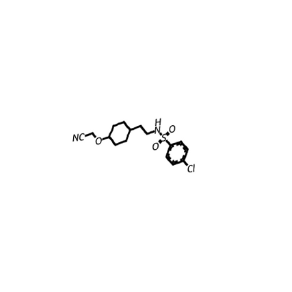 N#CCOC1CCC(CCNS(=O)(=O)c2ccc(Cl)cc2)CC1